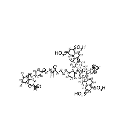 CCN(CC)C(=O)Cc1c(-c2ccc(OCCNC(=O)CCCCc3cccc(C(=C\C=C4/N(CCCS(=O)(=O)O)c5ccc6c(S(=O)(=O)O)cc(S(=O)(=O)O)cc6c5C4(C)C)/C=C/C4=[N+](CCCS(=O)(=O)[O-])c5ccc6c(S(=O)(=O)O)cc(S(=O)(=O)O)cc6c5C4(C)C)c3)cc2)nn2c(C)cc(C)nc12